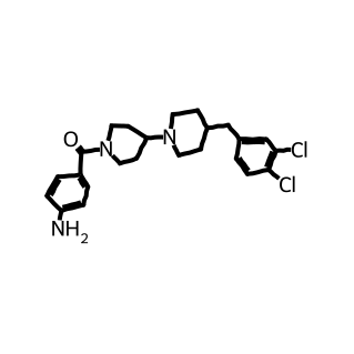 Nc1ccc(C(=O)N2CCC(N3CCC(Cc4ccc(Cl)c(Cl)c4)CC3)CC2)cc1